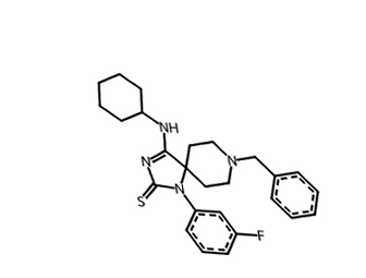 Fc1cccc(N2C(=S)N=C(NC3CCCCC3)C23CCN(Cc2ccccc2)CC3)c1